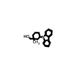 CC1(CO)CCCC(n2c3ccccc3c3ccccc32)C1